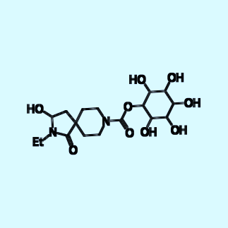 CCN1C(=O)C2(CCN(C(=O)OC3C(O)C(O)C(O)C(O)C3O)CC2)CC1O